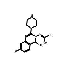 CC(C)=NN1C(N2CCNCC2)=Nc2cc(Cl)ccc2C1C